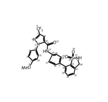 COc1ccc(-n2nc(C(F)(F)F)cc2C(=O)Nc2ccc(-c3cccc4c3S(=O)(=O)NC4)cc2)cc1